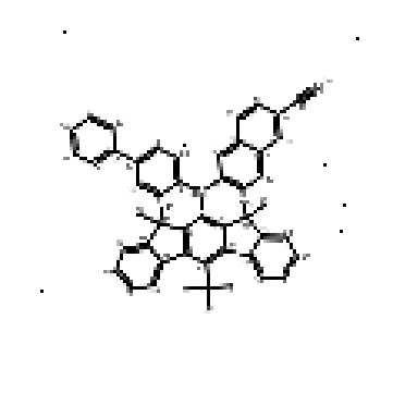 CC(C)(C)c1c2c(c(N(c3ccc(-c4ccccc4)cc3)c3ccc4cc(C#N)ccc4c3)c3c1-c1ccccc1C3(C)C)C(C)(C)c1ccccc1-2